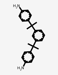 CC(C)(c1ccc(N)cc1)c1cccc(C(C)(C)c2ccc(N)cc2)c1